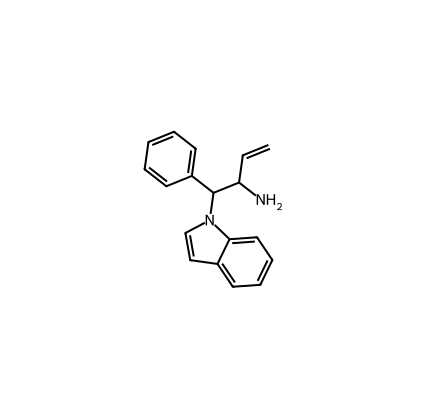 C=CC(N)C(c1ccccc1)n1ccc2ccccc21